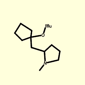 CN1CCCC1CC1(OC(C)(C)C)CCCC1